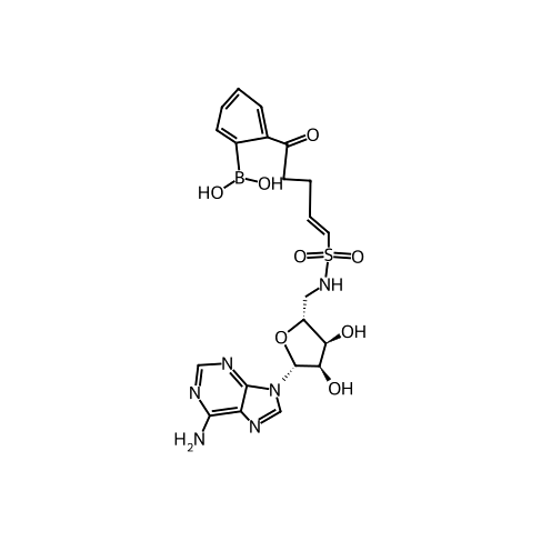 Nc1ncnc2c1ncn2[C@@H]1O[C@H](CNS(=O)(=O)/C=C/CCC(=O)c2ccccc2B(O)O)[C@@H](O)[C@H]1O